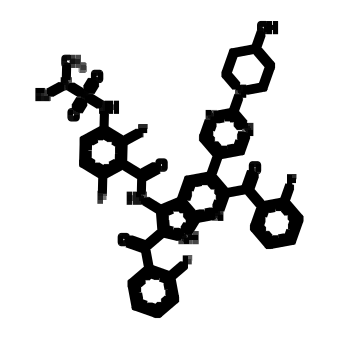 CCN(C)S(=O)(=O)Nc1ccc(F)c(C(=O)Nc2c(C(=O)c3ccccc3F)[nH]c3nc(C(=O)c4ccccc4F)c(-c4cnc(N5CCC(O)CC5)nc4)cc23)c1F